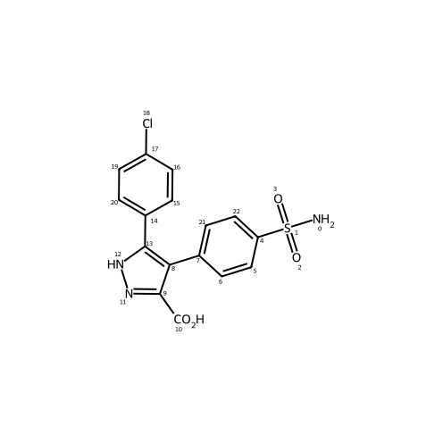 NS(=O)(=O)c1ccc(-c2c(C(=O)O)n[nH]c2-c2ccc(Cl)cc2)cc1